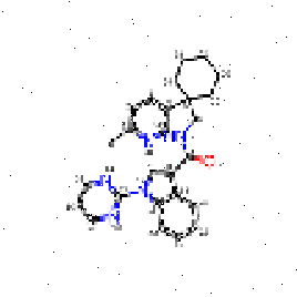 Cc1ccc(C2(CNC(=O)c3cn(-c4ncccn4)c4ccccc34)CCCCC2)cn1